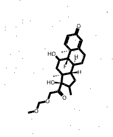 COCOCC(=O)[C@@]1(O)C(C)C[C@H]2[C@@H]3CCC4=CC(=O)C=C[C@]4(C)[C@@]3(F)C(O)C[C@@]21C